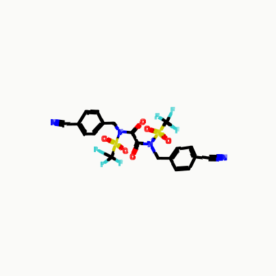 N#Cc1ccc(CN(C(=O)C(=O)N(Cc2ccc(C#N)cc2)S(=O)(=O)C(F)(F)F)S(=O)(=O)C(F)(F)F)cc1